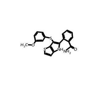 COc1cccc(Sc2c(-c3ccccc3C(N)=O)[nH]c3ccsc23)c1